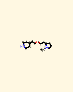 CN1CCCC1CCOCCC1CCNCC1